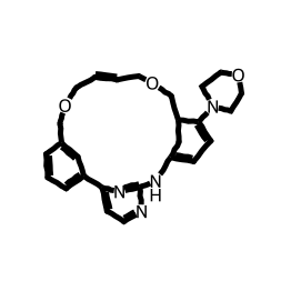 C1=C2CC(COC/C=C/COCc3cccc(c3)-c3ccnc(n3)N2)C(N2CCOCC2)=C1